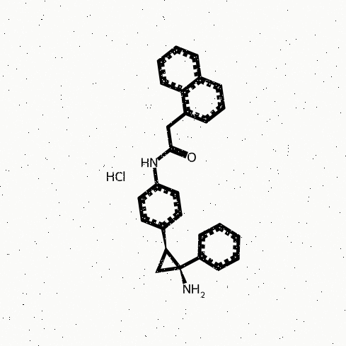 Cl.N[C@@]1(c2ccccc2)C[C@H]1c1ccc(NC(=O)Cc2cccc3ccccc23)cc1